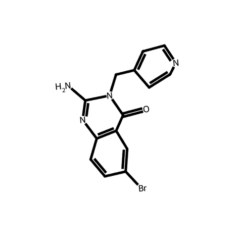 Nc1nc2ccc(Br)cc2c(=O)n1Cc1ccncc1